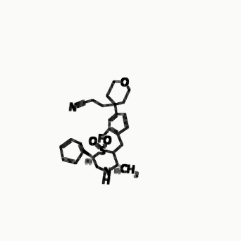 C[C@@H]1NC[C@@H](c2ccccc2)S(=O)(=O)C1Cc1ccc(C2(CCC#N)CCOCC2)cc1F